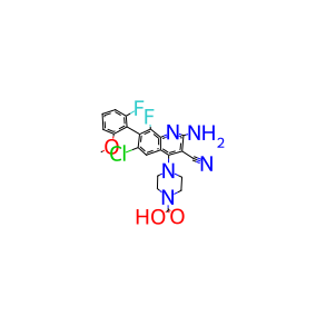 COc1cccc(F)c1-c1c(Cl)cc2c(N3CCN(C(=O)O)CC3)c(C#N)c(N)nc2c1F